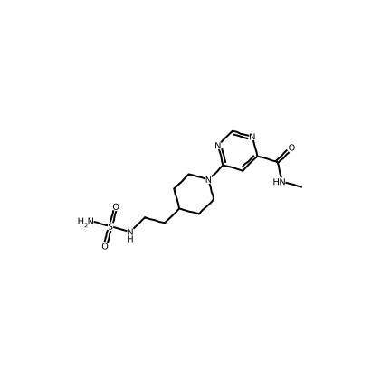 CNC(=O)c1cc(N2CCC(CCNS(N)(=O)=O)CC2)ncn1